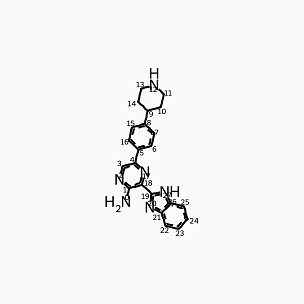 Nc1ncc(-c2ccc(C3CCNCC3)cc2)nc1-c1nc2ccccc2[nH]1